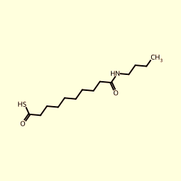 CCCCNC(=O)CCCCCCCCC(=O)S